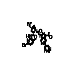 CC(=O)c1nn(CC(=O)N2C3C[C@]3(CN(C)C)C[C@H]2C(=O)Nc2nc(Br)ccc2C)c2cnc(-c3cnc(C)nc3)cc12